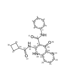 O=C(Nc1ccccc1)c1c(NC(=O)C2CCC2)[nH]c2cccnc2c1=O